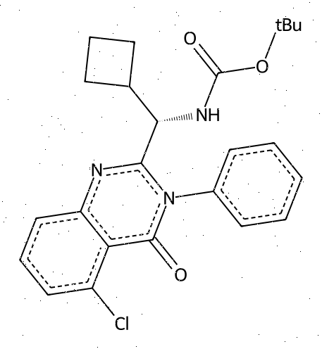 CC(C)(C)OC(=O)N[C@H](c1nc2cccc(Cl)c2c(=O)n1-c1ccccc1)C1CCC1